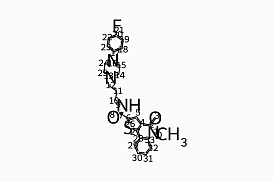 Cn1c(=O)c2cc(C(=O)NCCCN3CCN(c4ccc(F)cc4)CC3)sc2c2ccccc21